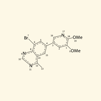 COc1cc(-c2cc(Br)c3ncnc(C)c3c2)cnc1OC